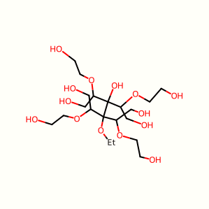 CCOC(C(CO)OCCO)(C(CO)OCCO)C(O)(C(CO)OCCO)C(CO)OCCO